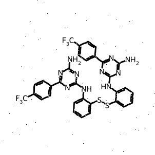 Nc1nc(Nc2ccccc2SSc2ccccc2Nc2nc(N)nc(-c3ccc(C(F)(F)F)cc3)n2)nc(-c2ccc(C(F)(F)F)cc2)n1